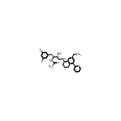 CCc1cc(-c2ccccn2)c2c(c1)[C@H](NC[C@@H](O)[C@H](Cc1cc(F)cc(F)c1)NC(C)=O)CCC2